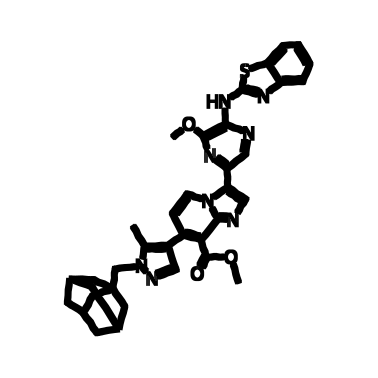 COC(=O)c1c(-c2cnn(CC34CC5CC(CC(C5)C3)C4)c2C)ccn2c(-c3cnc(Nc4nc5ccccc5s4)c(OC)n3)cnc12